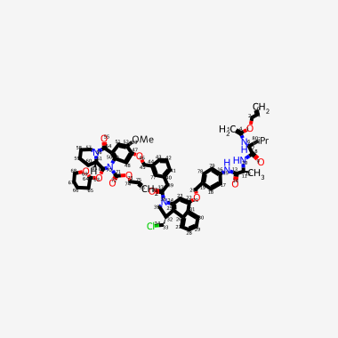 C=CCOC(=C)NC(C(=O)N[C@@H](C)C(=O)Nc1ccc(COc2cc3c(c4ccccc24)[C@H](CCl)CN3C(=O)Cc2cccc(COc3cc4c(cc3OC)C(=O)N3CCCC[C@H]3C(OC3CCCCO3)N4C(=O)OCC=C)c2)cc1)C(C)C